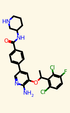 CC(Oc1cc(-c2ccc(C(=O)NC3CCCNC3)cc2)cnc1N)c1c(Cl)ccc(F)c1Cl